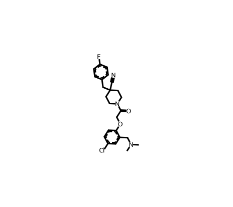 CN(C)Cc1cc(Cl)ccc1OCC(=O)N1CCC(C#N)(Cc2ccc(F)cc2)CC1